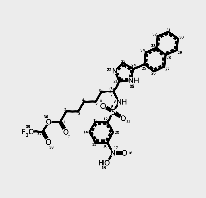 O=C(CCCCC[C@H](NS(=O)(=O)c1cccc([N+](=O)O)c1)c1ncc(-c2ccc3ccccc3c2)[nH]1)OC(=O)C(F)(F)F